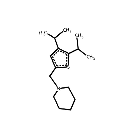 CC(C)c1cc(CN2CCCCC2)sc1C(C)C